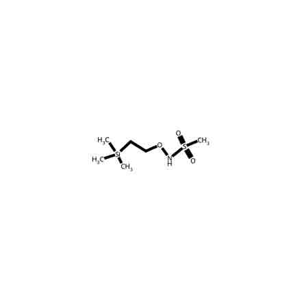 C[Si](C)(C)CCONS(C)(=O)=O